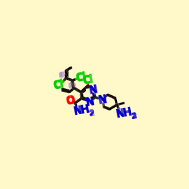 C=C/C(=C(Cl)\C(Cl)=C/C)c1c(Cl)nc(N2CCC(C)(N)CC2)nc1C(N)=O